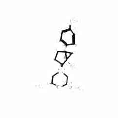 C[C@H]1CN(C2CC[C@]3(c4ccc(C(C)(C)C)cc4)C[C@H]23)C[C@H](C)O1